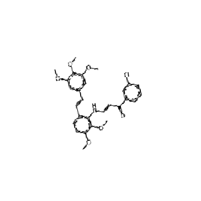 COc1cc(C=Cc2ccc(OC)c(OC)c2NC=CC(=O)c2cccc(Cl)c2)cc(OC)c1OC